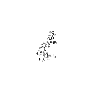 Cc1cc(C2=Nc3cc(CN[C@H](C(=O)OC4CCOC4)C(C)C)ccc3CCC2C)cn(C)c1=O